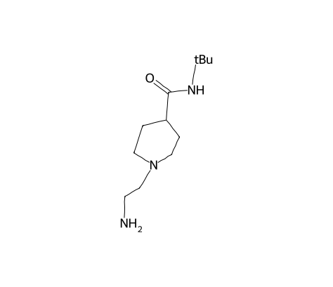 CC(C)(C)NC(=O)C1CCN(CCN)CC1